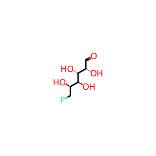 O=C[C@H](O)[C@@H](O)[C@@H](O)[C@H](O)CF